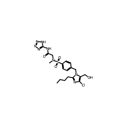 CCCCc1nc(Cl)c(CO)n1Cc1ccc(S(=O)(=O)N(C)CC(=O)Nc2nnn[nH]2)cc1